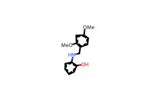 COc1ccc(CNc2ccccc2O)c(OC)c1